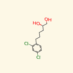 OC[C@H](O)CCCCc1ccc(Cl)cc1Cl